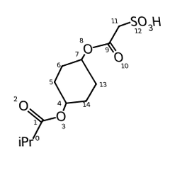 CC(C)C(=O)OC1CCC(OC(=O)CS(=O)(=O)O)CC1